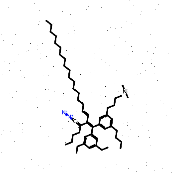 CCCCCCCCCCCCCCCCC=CC(C(=C=[N+]=[N-])CCCC)=C(c1cc(CC)cc(CC)c1)c1cc(CCCC)cc(CCCC)c1.[CH3][Ni][CH3]